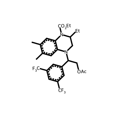 CCOC(=O)N1c2cc(C)c(C)cc2N(C(COC(C)=O)c2cc(C(F)(F)F)cc(C(F)(F)F)c2)CC1CC